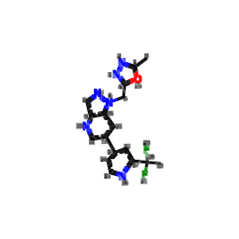 Cc1nnc(Cn2ncc3ncc(-c4ccnc(C(C)(F)F)c4)cc32)o1